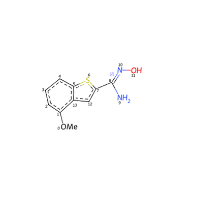 COc1cccc2sc(/C(N)=N/O)cc12